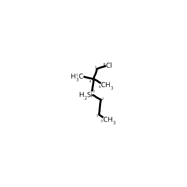 CCC[SiH2]C(C)(C)CCl